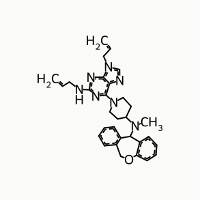 C=CCNc1nc(N2CCC(N(C)C3c4ccccc4COc4ccccc43)CC2)c2ncn(CC=C)c2n1